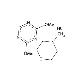 CN1CCOCC1.COc1ncnc(OC)n1.Cl